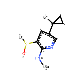 CC[S+]([O-])c1cc(C2(C#N)CC2)cnc1NC(C)(C)C